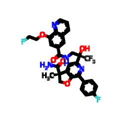 C[C@]1(C(N)=O)COc2c1cc([C@@](O)(CNC(=O)c1cc(OCCF)c3ncccc3c1)C(F)(F)F)nc2-c1ccc(F)cc1